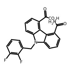 NC(=O)c1cccc2c1c1c(C(=O)C(=O)O)cccc1n2Cc1cccc(F)c1F